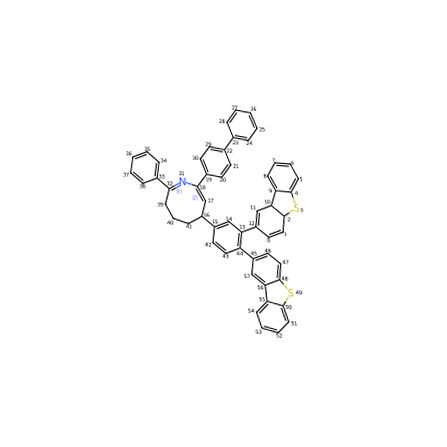 C1=CC2Sc3ccccc3C2C=C1c1cc(C2/C=C(c3ccc(-c4ccccc4)cc3)\N=C(\c3ccccc3)CCC2)ccc1-c1ccc2sc3ccccc3c2c1